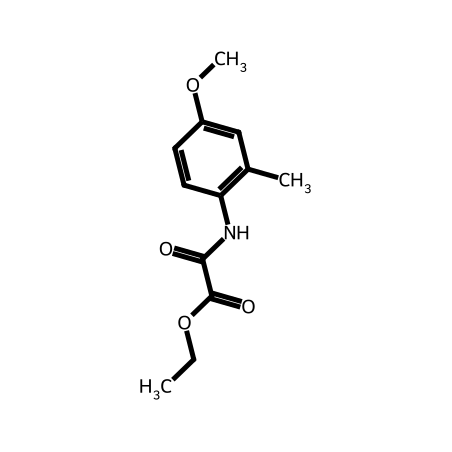 CCOC(=O)C(=O)Nc1ccc(OC)cc1C